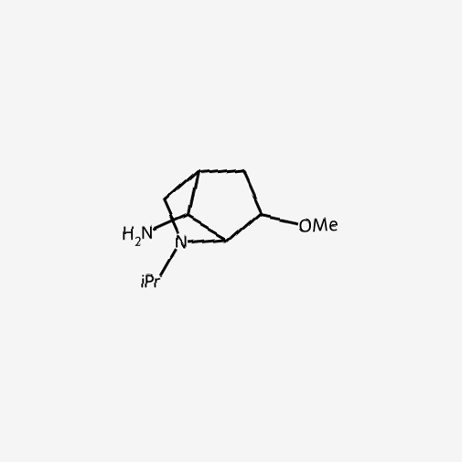 COC1CC2CN(C(C)C)C1C2N